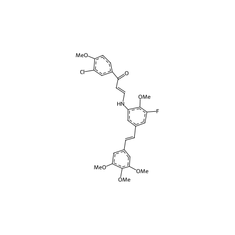 COc1ccc(C(=O)C=CNc2cc(C=Cc3cc(OC)c(OC)c(OC)c3)cc(F)c2OC)cc1Cl